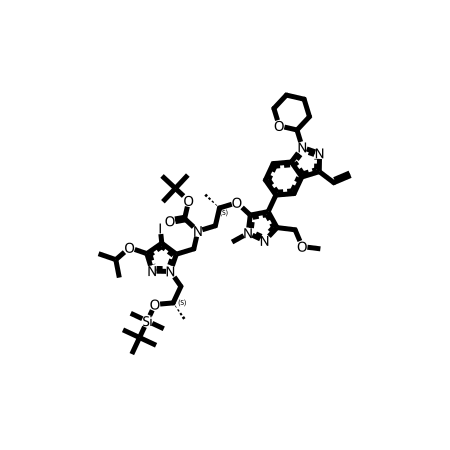 C=Cc1nn(C2CCCCO2)c2ccc(-c3c(COC)nn(C)c3O[C@@H](C)CN(Cc3c(I)c(OC(C)C)nn3C[C@H](C)O[Si](C)(C)C(C)(C)C)C(=O)OC(C)(C)C)cc12